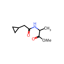 COC(=O)C(C)NC(=O)CC1CC1